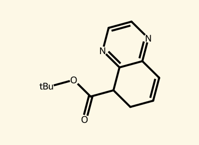 CC(C)(C)OC(=O)C1CC=Cc2nccnc21